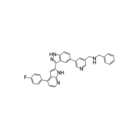 Fc1ccc(-c2ccnc3[nH]c(-c4n[nH]c5ccc(-c6cncc(CNCc7ccccc7)c6)cc45)cc23)cc1